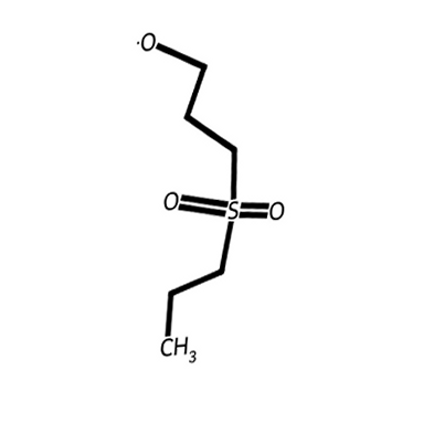 CCCS(=O)(=O)CCC[O]